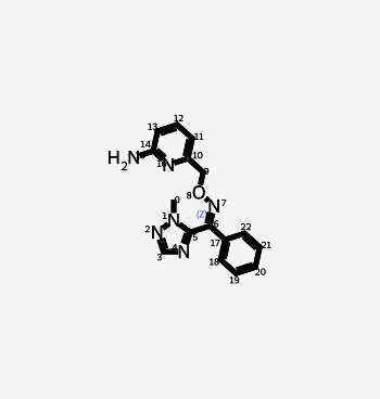 Cn1ncnc1/C(=N\OCc1cccc(N)n1)c1ccccc1